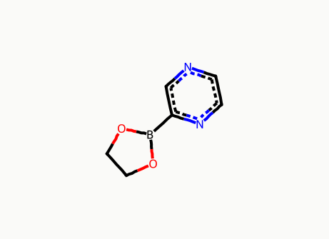 c1cnc(B2OCCO2)cn1